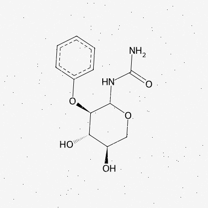 NC(=O)NC1OC[C@@H](O)[C@H](O)[C@H]1Oc1ccccc1